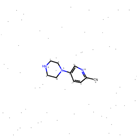 N#Cc1ccc(N2CCNCC2)cn1